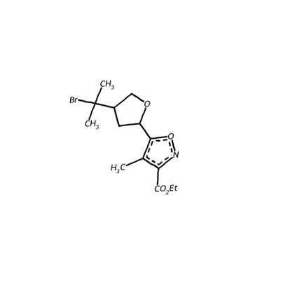 CCOC(=O)c1noc(C2CC(C(C)(C)Br)CO2)c1C